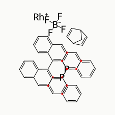 C1=CC2C=CC1C2.F[B-](F)(F)F.[Rh+].c1ccc(P(c2ccccc2)c2ccc3ccccc3c2-c2c(P(c3ccccc3)c3ccccc3)ccc3ccccc23)cc1